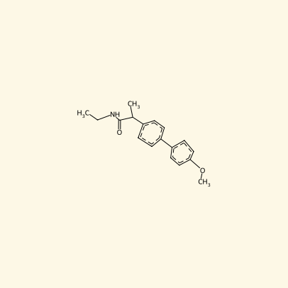 CCNC(=O)C(C)c1ccc(-c2ccc(OC)cc2)cc1